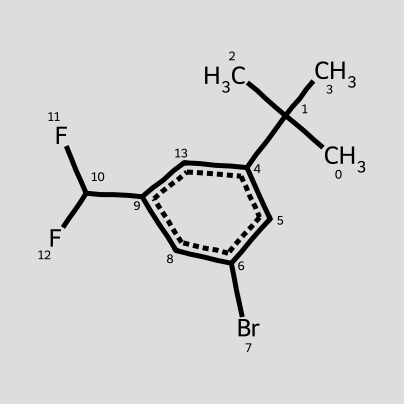 CC(C)(C)c1cc(Br)cc(C(F)F)c1